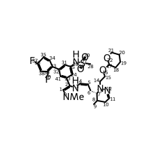 CN/C=C(\N/C=C\C[C@H]1C(C)CC=NN1CCOC1CCCCO1)c1cc(NS(C)(=O)=O)cc(-c2ccc(F)cc2F)c1